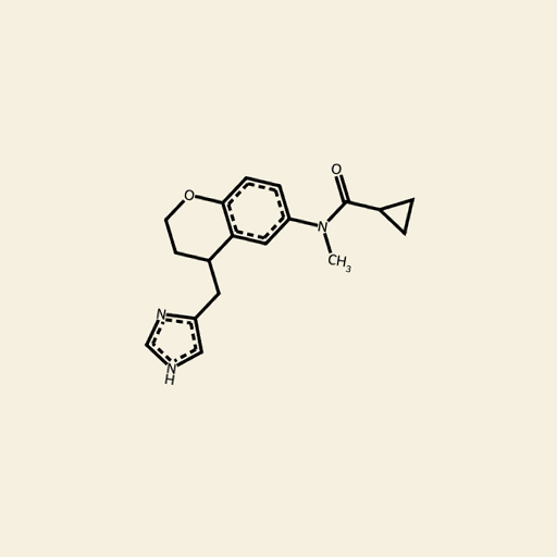 CN(C(=O)C1CC1)c1ccc2c(c1)C(Cc1c[nH]cn1)CCO2